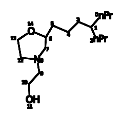 CCCC(CCC)CCCC1CN(CCO)CCO1